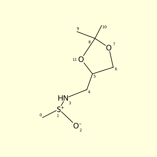 C[S+]([O-])NCC1COC(C)(C)O1